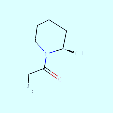 CC(C)CC(=O)N1CCCC[C@H]1C